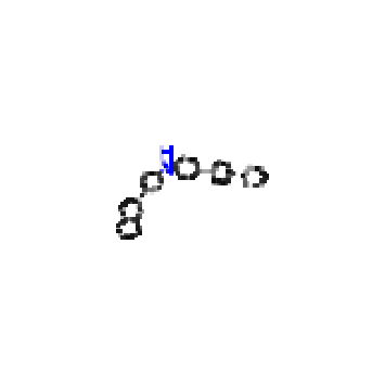 c1ccc(-c2ccc(-c3ccc(Nc4ccc(-c5ccc6ccccc6c5)cc4)cc3)cc2)cc1